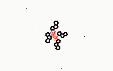 O=P(Oc1cccc2c1ccc1ccccc12)(Oc1cccc2c1ccc1ccccc12)OP(=O)(Oc1cccc2c1ccc1ccccc12)Oc1cccc2c1ccc1ccccc12